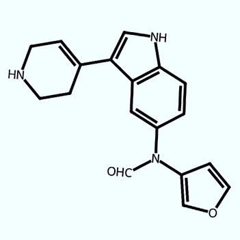 O=CN(c1ccoc1)c1ccc2[nH]cc(C3=CCNCC3)c2c1